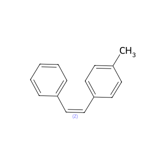 Cc1ccc(/C=C\c2ccccc2)cc1